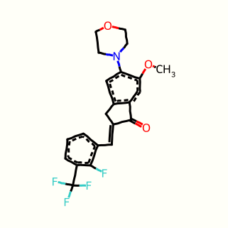 COc1cc2c(cc1N1CCOCC1)C/C(=C\c1cccc(C(F)(F)F)c1F)C2=O